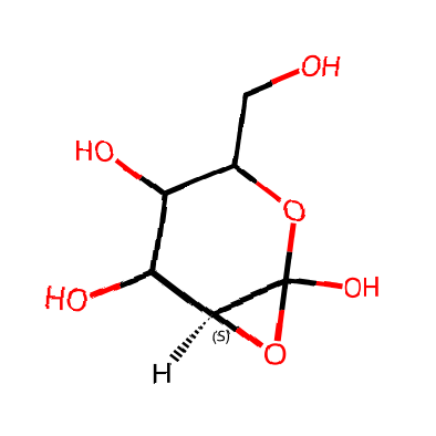 OCC1OC2(O)O[C@H]2C(O)C1O